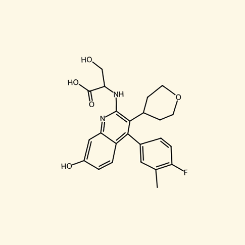 Cc1cc(-c2c(C3CCOCC3)c(NC(CO)C(=O)O)nc3cc(O)ccc23)ccc1F